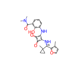 Cc1ccoc1[C@H](Nc1c(Nc2cccc(C(=O)N(C)C)c2O)c(=O)c1=O)C1(C)CC1